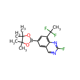 CC(F)(F)c1cc(B2OC(C)(C)C(C)(C)O2)cc2cnc(F)nc12